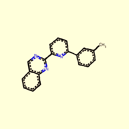 Cc1cccc(-c2cccc(-c3ncc4ccccc4n3)n2)c1